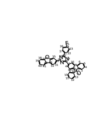 O=P(c1ccccc1)(c1ccccc1)c1ccc(-c2nc(-c3ccc(F)cc3)nc(-c3ccc4c(c3)oc3ccccc34)n2)cc1